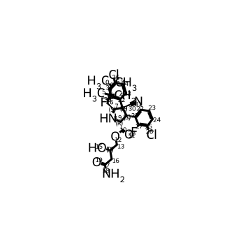 CC(C)C(C)(C)C[C@@H]1N[C@@H](C(=O)OC[C@H](O)CC(N)=O)[C@H](c2cccc(Cl)c2F)[C@@]1(C#N)c1ccc(Cl)cc1F